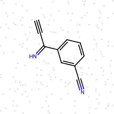 C#CC(=N)c1cccc(C#N)c1